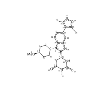 CO[C@H]1CC[C@H](n2c([C@@H]3CC(=O)N(C)C(=O)N3)nc3cc(-c4c(C)noc4C)ccc32)CC1